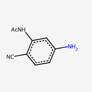 CC(=O)Nc1cc(N)ccc1C#N